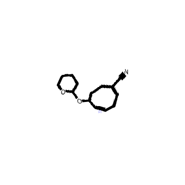 N#CC1CC/C=C\C(OC2CCCCO2)CC1